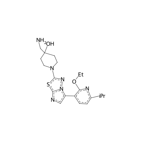 CCOc1nc(C(C)C)ccc1-c1cnc2sc(N3CCC(O)(CN)CC3)nn12